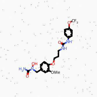 COc1cc(CN(O)C(N)=O)ccc1OCCCNC(=O)Nc1ccc(OC(F)(F)F)cc1